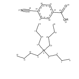 CCCC[N+](CCCC)(CCCC)CCCC.N#Cc1ccc(C(=O)O)cc1